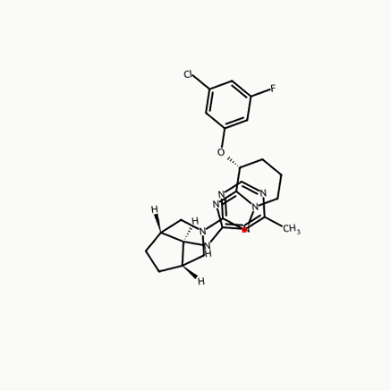 Cc1cc(N2C[C@H]3CC[C@@H](C2)[C@@H]3Nc2nc3n(n2)CCC[C@H]3Oc2cc(F)cc(Cl)c2)ncn1